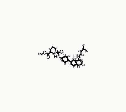 CCOC(=O)C1CCCN(C(=O)Nc2ccc(-c3ccc4ncnc(NCCC(C)C)c4c3)cc2)C1